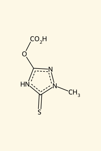 Cn1nc(OC(=O)O)[nH]c1=S